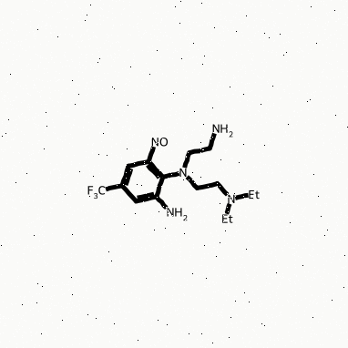 CCN(CC)CCN(CCN)c1c(N)cc(C(F)(F)F)cc1N=O